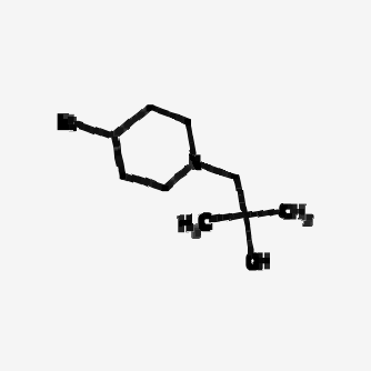 [CH2]CC1CCN(CC(C)(C)O)CC1